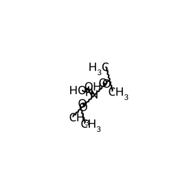 CCCCCCCCC(CCCCCC)COC(=O)CCCCCCCN(CCCCCCCC(=O)OCC(CCCCCC)CCCCCCCC)CCN(CCO)CCCO